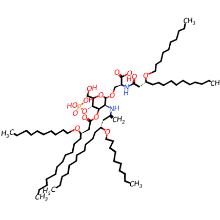 C=C(C[C@@H](CCCCCCCCCCC)OCCCCCCCCCC)N[C@H]1C(OC(=O)C[C@@H](CCCCCCCCCCC)OCCCCCCCCCC)[C@H](OP(=O)(O)O)C(CO)O[C@H]1OC[C@H](NC(=O)C[C@@H](CCCCCCCCCCC)OCCCCCCCCCC)C(=O)O